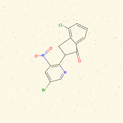 O=C1c2cccc(Cl)c2CC1c1ncc(Br)cc1[N+](=O)[O-]